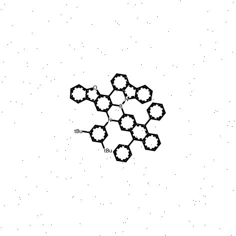 CC(C)(C)c1cc(N2c3cc4c(-c5ccccc5)c5ccccc5c(-c5ccccc5)c4cc3B3c4c2cc2c(oc5ccccc52)c4-c2cccc4c5ccccc5n3c24)cc(C(C)(C)C)c1